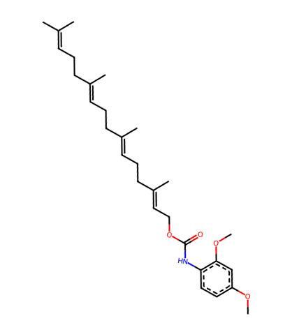 COc1ccc(NC(=O)OC/C=C(\C)CC/C=C(\C)CC/C=C(\C)CCC=C(C)C)c(OC)c1